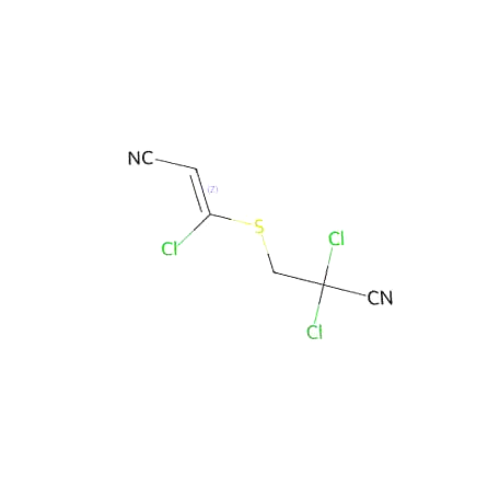 N#C/C=C(\Cl)SCC(Cl)(Cl)C#N